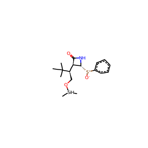 C[SiH](C)OC[C@H]([C@H]1C(=O)N[C@@H]1[S+]([O-])c1ccccc1)C(C)(C)C